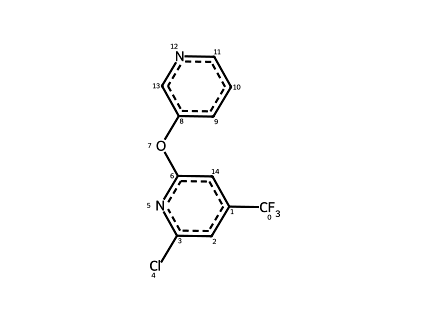 FC(F)(F)c1cc(Cl)nc(Oc2cccnc2)c1